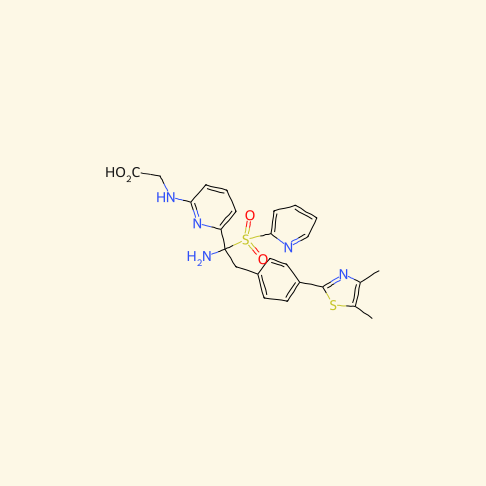 Cc1nc(-c2ccc(CC(N)(c3cccc(NCC(=O)O)n3)S(=O)(=O)c3ccccn3)cc2)sc1C